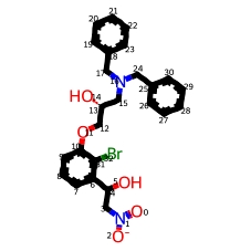 O=[N+]([O-])CC(O)c1cccc(OC[C@H](O)CN(Cc2ccccc2)Cc2ccccc2)c1Br